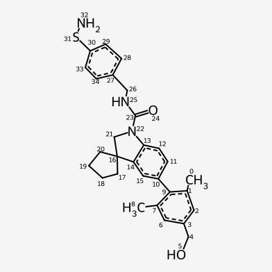 Cc1cc(CO)cc(C)c1-c1ccc2c(c1)C1(CCCC1)CN2C(=O)NCc1ccc(SN)cc1